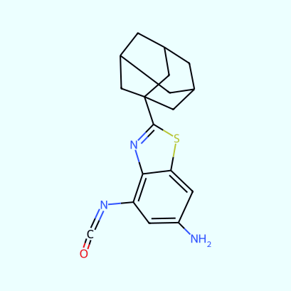 Nc1cc(N=C=O)c2nc(C34CC5CC(CC(C5)C3)C4)sc2c1